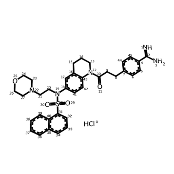 Cl.N=C(N)c1ccc(CCC(=O)N2CCCc3cc(N(CCN4CCOCC4)S(=O)(=O)c4cccc5ccccc45)ccc32)cc1